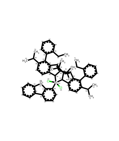 CCc1ccccc1-c1c(C(C)C)ccc2c1C=C(C(C)C)[CH]2[Zr]([Cl])([Cl])([c]1cccc2c1[SiH2]c1ccccc1-2)[CH]1C(C(C)C)=Cc2c1ccc(C(C)C)c2-c1ccccc1CC